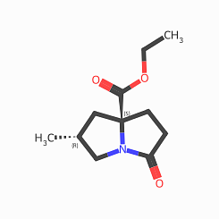 CCOC(=O)[C@@]12CCC(=O)N1C[C@H](C)C2